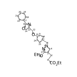 CCOC(=O)CCc1cn(Cc2ccc(OCc3coc(-c4ccccc4)n3)cc2)nc1OCC